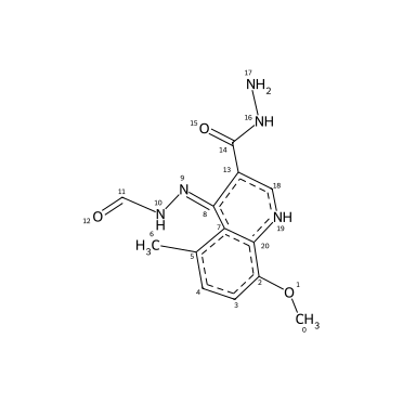 COc1ccc(C)c2/c(=N\NC=O)c(C(=O)NN)c[nH]c12